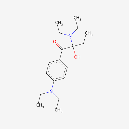 CCN(CC)c1ccc(C(=O)C(O)(CC)N(CC)CC)cc1